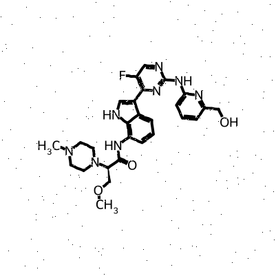 COC[C@H](C(=O)Nc1cccc2c(-c3nc(Nc4cccc(CO)n4)ncc3F)c[nH]c12)N1CCN(C)CC1